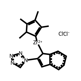 CC1=C(C)C(C)[C]([Zr+2][CH]2C(n3cnnn3)=Cc3ccccc32)=C1C.[Cl-].[Cl-]